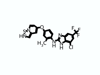 Cc1cc(OC2=CC3=CNSN3C=C2)ccc1Nc1nc2cc(C(F)(F)F)cc(Cl)c2[nH]1